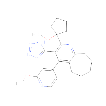 COc1cc(-c2c3c(nc(C4(OC)CCCC4)c2-c2nnn[nH]2)CCCCC3)ccn1